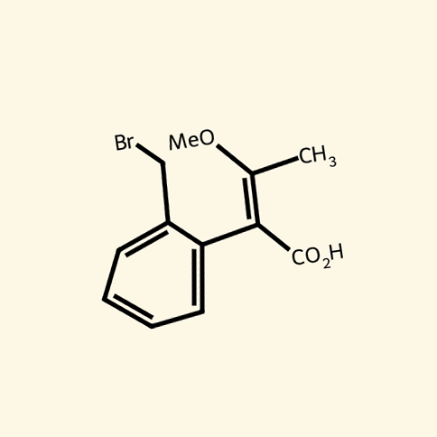 CO/C(C)=C(/C(=O)O)c1ccccc1CBr